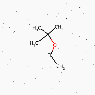 [CH3][Ti][O]C(C)(C)C